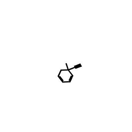 C#CC1(C)C=CC=CC1